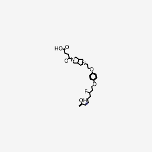 C=C(O)/C=C\CCC(F)CCOc1ccc(OCCN2CC3CN(C(=O)CCC(=O)O)CC3C2)cc1